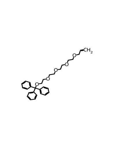 C=CCOCCOCCOCCOCCOC(c1ccccc1)(c1ccccc1)c1ccccc1